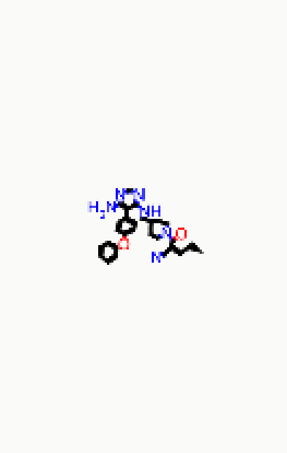 N#C/C(=C/C1CC1)C(=O)N1CCC(CNc2ncnc(N)c2-c2ccc(Oc3ccccc3)cc2)CC1